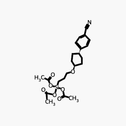 CC(=O)O[Si](CCCO[C@H]1CC[C@H](c2ccc(C#N)cc2)CC1)(OC(C)=O)OC(C)=O